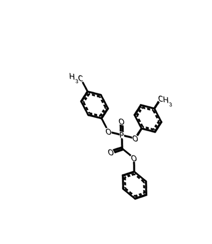 Cc1ccc(OP(=O)(Oc2ccc(C)cc2)C(=O)Oc2ccccc2)cc1